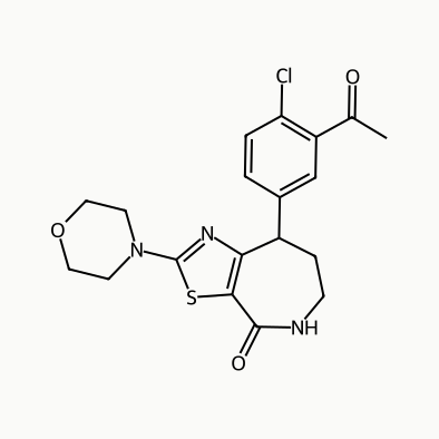 CC(=O)c1cc(C2CCNC(=O)c3sc(N4CCOCC4)nc32)ccc1Cl